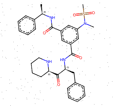 C[C@@H](NC(=O)c1cc(C(=O)N[C@@H](Cc2ccccc2)C(=O)[C@H]2CCCCN2)cc(N(C)S(C)(=O)=O)c1)c1ccccc1